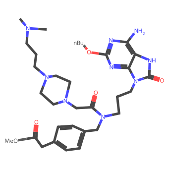 CCCCOc1nc(N)c2[nH]c(=O)n(CCCN(Cc3ccc(CC(=O)OC)cc3)C(=O)CN3CCN(CCCN(C)C)CC3)c2n1